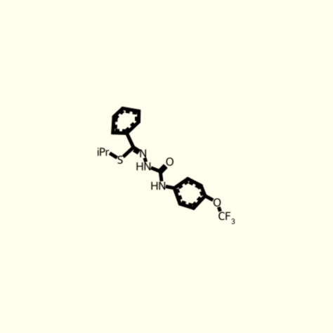 CC(C)SC(=NNC(=O)Nc1ccc(OC(F)(F)F)cc1)c1ccccc1